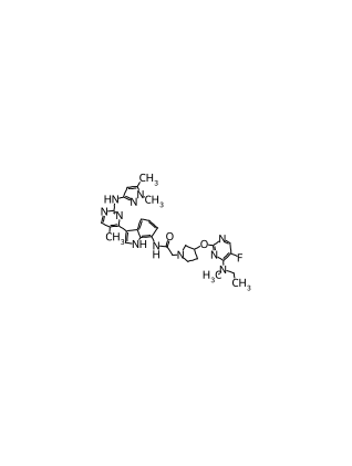 CCN(C)c1nc(OC2CCN(CC(=O)Nc3cccc4c(-c5nc(Nc6cc(C)n(C)n6)ncc5C)c[nH]c34)C2)ncc1F